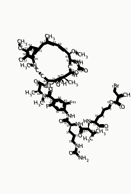 C=C(CBr)C(=O)OCCCCC(C=O)N[C@H](C(=O)N[C@@H](CCCNC(N)=O)C(=O)Nc1cc(F)c(C(=O)N(C)[C@@H](C)C(=O)O[C@H]2CCN(C)c3cc(cc(OC)c3Cl)C/C(C)=C/C=C/[C@@H](OC)[C@@]3(O)C[C@H](OC(=O)N3)[C@@H](C)[C@@H]3O[C@@]23C)cc1F)C(C)C